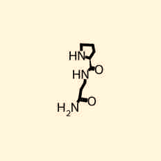 NC(=O)CCNC(=O)[C@@H]1CCCN1